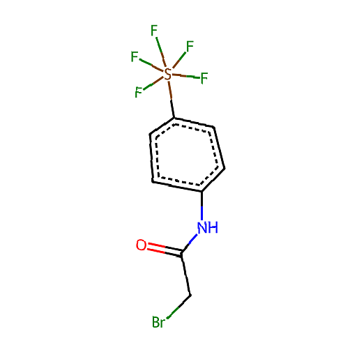 O=C(CBr)Nc1ccc(S(F)(F)(F)(F)F)cc1